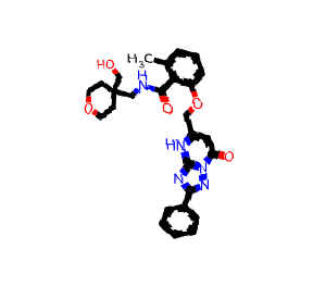 Cc1cccc(OCc2cc(=O)n3nc(-c4ccccc4)nc3[nH]2)c1C(=O)NCC1(CO)CCOCC1